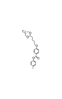 [CH2-][C+]1COC(CCCCOc2ccc(C(=O)Oc3ccc(C)cc3)cc2)OC1